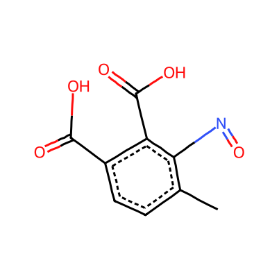 Cc1ccc(C(=O)O)c(C(=O)O)c1N=O